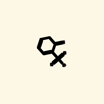 [O]S(=O)(=O)C1=CC=CCC1=S